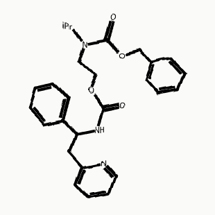 CC(C)N(CCOC(=O)NC(Cc1ccccn1)c1ccccc1)C(=O)OCc1ccccc1